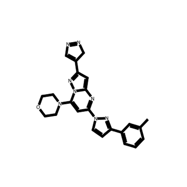 Cc1cccc(-c2ccn(-c3cc(N4CCOCC4)n4nc(C5=CN=NC5)cc4n3)n2)c1